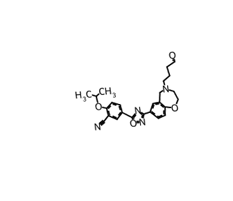 CC(C)Oc1ccc(-c2nc(-c3ccc4c(c3)CN(CCCC=O)CCO4)no2)cc1C#N